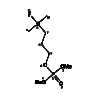 COP(=O)(OC)OCCC[Si](C)(C)F